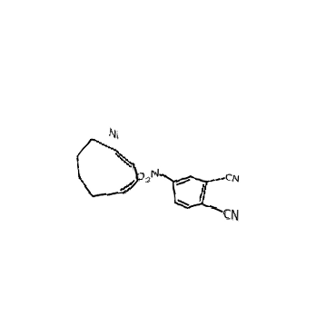 C1=CCCCCC=C1.N#Cc1ccc([N+](=O)[O-])cc1C#N.[Ni]